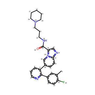 Cc1cc(-c2ncccc2-c2ccc3ncc(C(=O)NCCCN4CCCCC4)n3c2)ccc1F